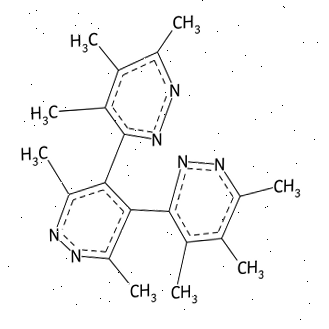 Cc1nnc(-c2c(C)nnc(C)c2-c2nnc(C)c(C)c2C)c(C)c1C